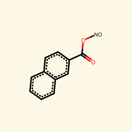 O=NOC(=O)c1ccc2ccccc2c1